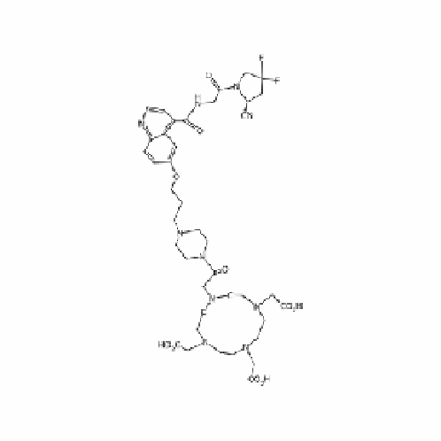 N#C[C@@H]1CC(F)(F)CN1C(=O)CNC(=O)c1ccnc2ccc(OCCCN3CCN(C(=O)CN4CCN(CC(=O)O)CCN(CC(=O)O)CCN(CC(=O)O)CC4)CC3)cc12